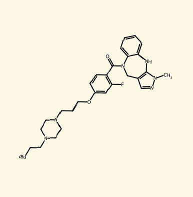 Cn1ncc2c1Nc1ccccc1N(C(=O)c1ccc(OCCCN3CCN(CCC(C)(C)C)CC3)cc1F)C2